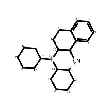 N#CC1c2ccccc2CCC1P(C1CCCCC1)C1CCCCC1